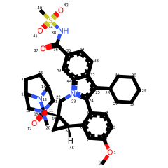 COc1ccc2c(c1)[C@@H]1C[C@]1(C(=O)N1C3CCC1CN(C)C3)Cn1c-2c(C2CCCCC2)c2ccc(C(=O)NS(C)(=O)=O)cc21